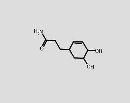 NC(=O)CCC1C=CC(O)C(O)C1